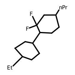 CCCC1CCC(C2CCC(CC)CC2)C(F)(F)C1